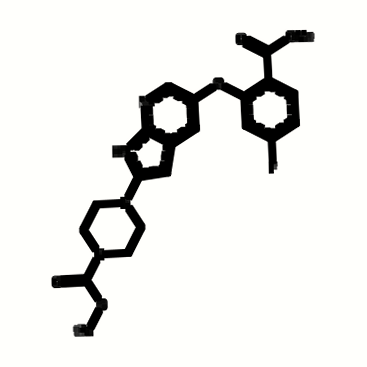 COC(=O)c1ccc(F)cc1Oc1cnc2[nH]c(N3CCN(C(=O)OC(C)(C)C)CC3)cc2c1